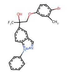 Cc1cc(OCC(O)(c2ccc3c(cnn3-c3ccccc3)c2)C(F)(F)F)ccc1Br